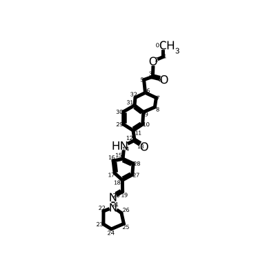 CCOC(=O)CC1CCc2cc(C(=O)Nc3ccc(C=NN4CCCCC4)cc3)ccc2C1